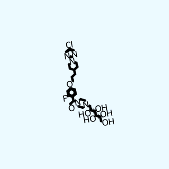 O=CC(c1ccc(OCCCC2CCN(c3ncc(Cl)cn3)CC2)cc1F)N1CCN(C[C@H](O)[C@@H](O)[C@H](O)[C@H](O)CO)CC1